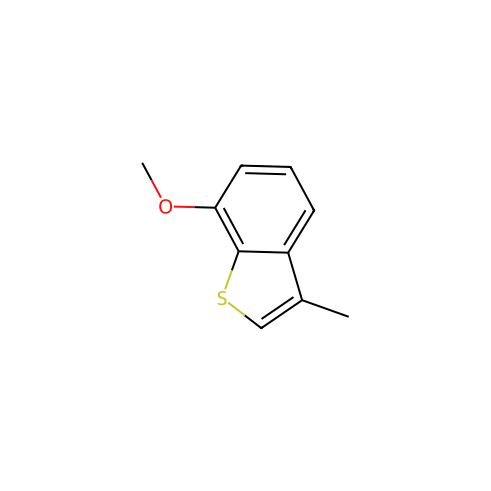 COc1cccc2c(C)csc12